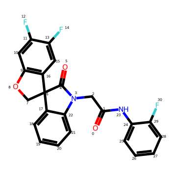 O=C(CN1C(=O)C2(COc3cc(F)c(F)cc32)c2ccccc21)Nc1ccccc1F